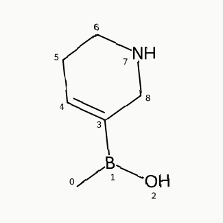 CB(O)C1=CCCNC1